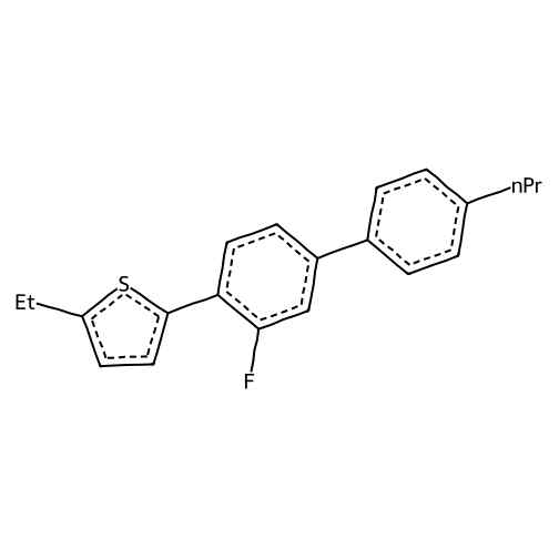 CCCc1ccc(-c2ccc(-c3ccc(CC)s3)c(F)c2)cc1